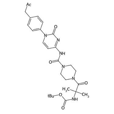 CC(=O)Cc1ccc(-n2ccc(NC(=O)N3CCN(C(=O)C(C)(C)NC(=O)OC(C)(C)C)CC3)nc2=O)cc1